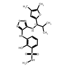 CNS(=O)(=O)c1cccc(Nc2nsnc2N[C@@H](c2cc(C)c(C)o2)C(C)C)c1O